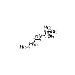 OCCNCCNCCC(O)(O)O